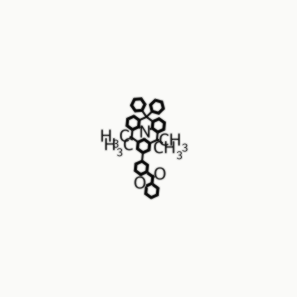 CC1(C)c2cc(-c3ccc4oc5ccccc5c(=O)c4c3)cc3c2N2c4c1cccc4C(c1ccccc1)(c1ccccc1)c1cccc(c12)C3(C)C